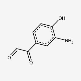 Nc1cc(C(=O)C=O)ccc1O